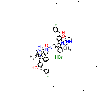 Br.C[C@@H]1CN(C(Cc2ccc(Cc3cccc(F)c3)c(O)c2)c2ccccc2C2(C)CCN(C(=O)N3CCC(C)(c4ccccc4C(Cc4ccc(Cc5cccc(F)c5)c(O)c4)N4C[C@@H](C)NC[C@@H]4C)CC3)CC2)[C@@H](C)CN1